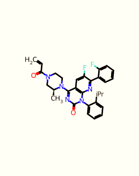 C=CC(=O)N1CCN(c2nc(=O)n(-c3ccccc3C(C)C)c3nc(-c4ccccc4F)c(F)cc23)[C@@H](C)C1